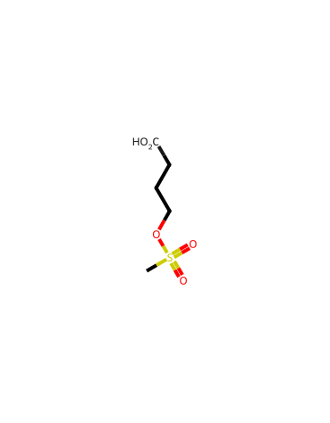 CS(=O)(=O)OCCCC(=O)O